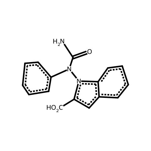 NC(=O)N(c1ccccc1)n1c(C(=O)O)cc2ccccc21